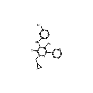 CC(=O)c1c(-c2cccnc2)nn(CC2CC2)c(=O)c1Nc1cccc(C#N)c1